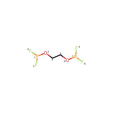 FP(F)OCCOP(F)F